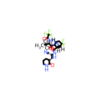 CC(C)(C)[C@H](NC(=O)C(F)(F)F)C(=O)N1[C@H]2CC[C@@H]([C@@H]1C(=O)N[C@@H](C#N)C[C@@H]1CCCNC1=O)C(F)(F)C2